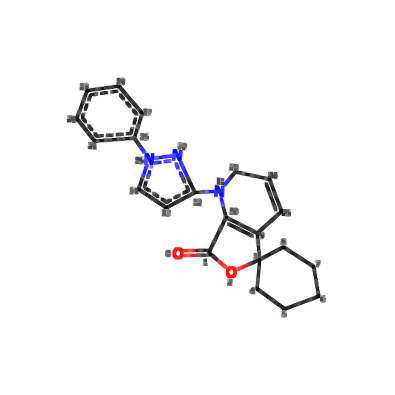 O=C1OC2(CCCCC2)C2=C1N(c1ccn(-c3ccccc3)n1)CC=C2